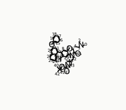 CN(C)CC[C@H]1Oc2cc(-c3cc(Oc4ccccc4)cc4ccccc34)c(Cl)cc2N(CC2CN(C(=O)OC(C)(C)C)C2)C1=O